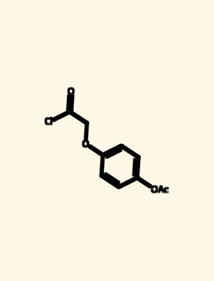 CC(=O)Oc1ccc(OCC(=O)Cl)cc1